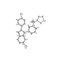 Fc1ccc(-c2nn3ccc(Cl)cc3c2-c2ccnc(NC3CCCC3)n2)cc1